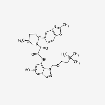 Cc1nc2cc([C@H]3CC[C@H](C)CN3C(=O)C(=O)Nc3c[n+](O)cc4cnn(COCC[Si](C)(C)C)c34)ccc2s1